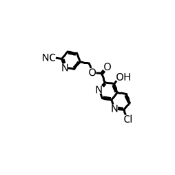 N#Cc1ccc(COC(=O)c2ncc3nc(Cl)ccc3c2O)cn1